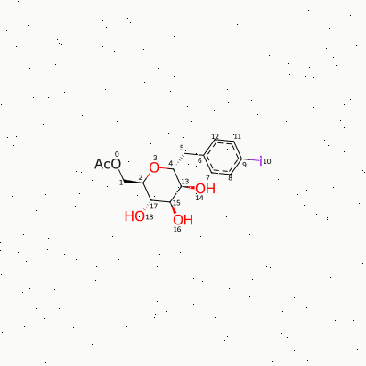 CC(=O)OC[C@H]1O[C@H](Cc2ccc(I)cc2)[C@@H](O)[C@@H](O)[C@@H]1O